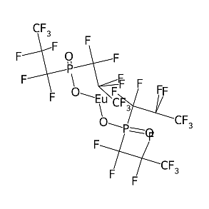 O=P([O][Eu][O]P(=O)(C(F)(F)C(F)(F)C(F)(F)F)C(F)(F)C(F)(F)C(F)(F)F)(C(F)(F)C(F)(F)C(F)(F)F)C(F)(F)C(F)(F)C(F)(F)F